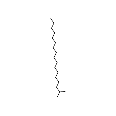 CCCCCCCCCCCCCCCC(C)C